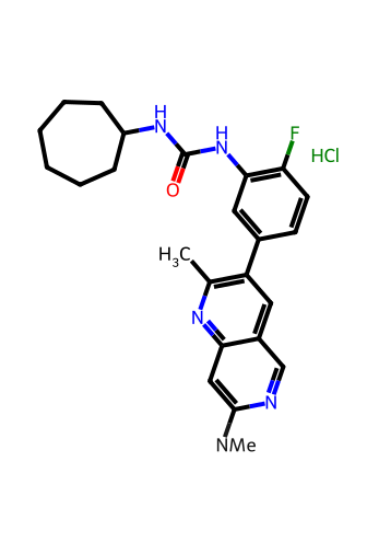 CNc1cc2nc(C)c(-c3ccc(F)c(NC(=O)NC4CCCCCC4)c3)cc2cn1.Cl